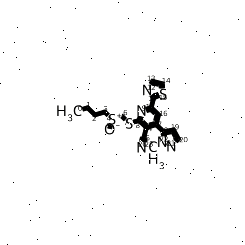 CCCC[S+]([O-])CSc1nc(-c2nccs2)cc(-c2ccnn2C)c1C#N